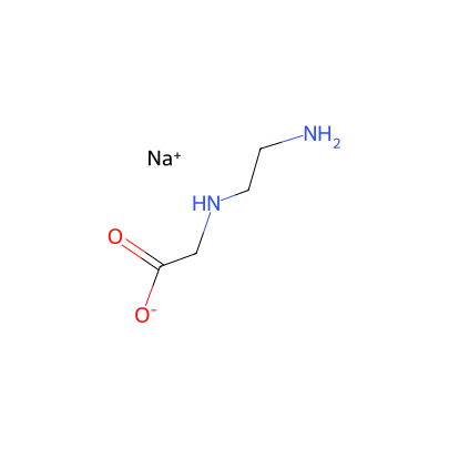 NCCNCC(=O)[O-].[Na+]